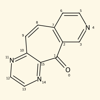 O=c1c2cnccc2ccc2nccnc12